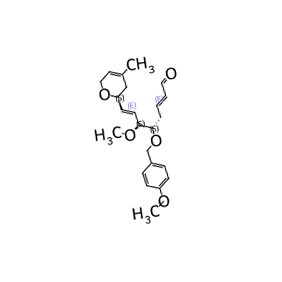 COc1ccc(CO[C@@H](C/C=C/C=O)[C@H](/C=C/[C@@H]2CC(C)=CCO2)OC)cc1